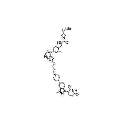 Cc1cc(-c2ncnn3cc(OCCCN4CCC(c5ccc6c(N7CCC(=O)NC7=O)nn(C)c6c5)CC4)cc23)ccc1CNC(=O)N1CC(OC(C)(C)C)C1